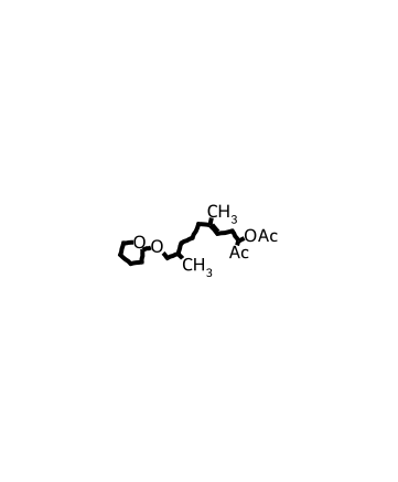 CC(=O)OC(CC=C(C)CCCC(C)COC1CCCCO1)C(C)=O